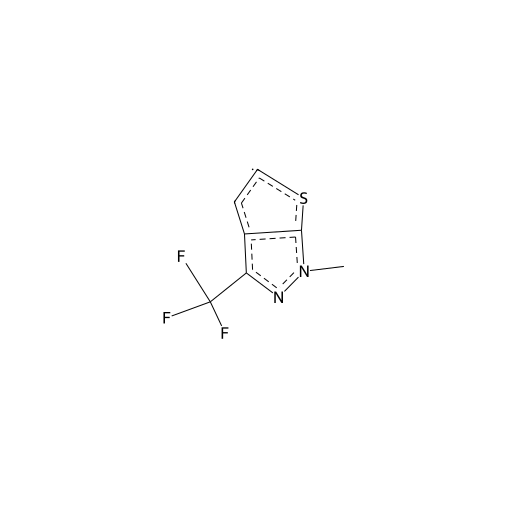 Cn1nc(C(F)(F)F)c2c[c]sc21